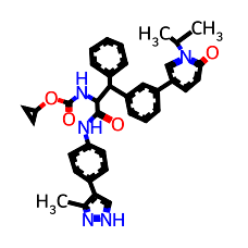 Cc1n[nH]cc1-c1ccc(NC(=O)C(NC(=O)OC2CC2)C(c2ccccc2)c2cccc(-c3ccc(=O)n(C(C)C)c3)c2)cc1